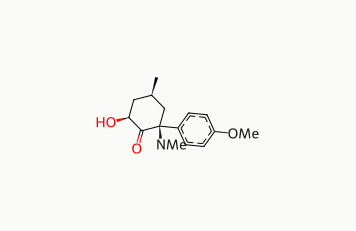 CN[C@]1(c2ccc(OC)cc2)C[C@H](C)C[C@H](O)C1=O